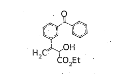 C=C(c1cccc(C(=O)c2ccccc2)c1)C(O)C(=O)OCC